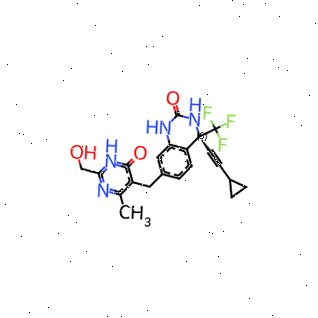 Cc1nc(CO)[nH]c(=O)c1Cc1ccc2c(c1)NC(=O)N[C@]2(C#CC1CC1)C(F)(F)F